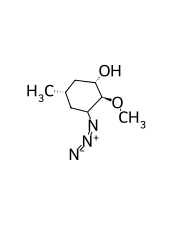 CO[C@H]1C(N=[N+]=[N-])C[C@H](C)C[C@@H]1O